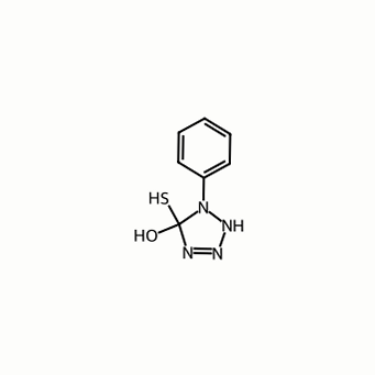 OC1(S)N=NNN1c1ccccc1